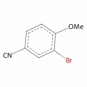 [C-]#[N+]c1ccc(OC)c(Br)c1